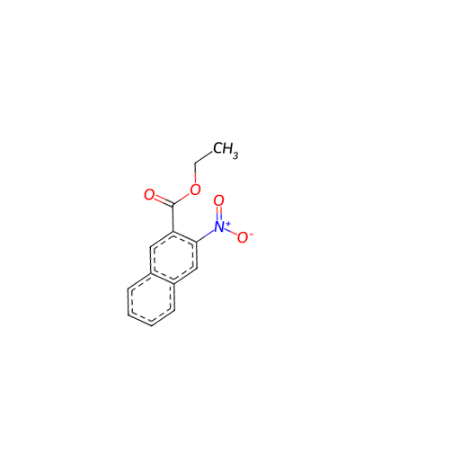 CCOC(=O)c1cc2ccccc2cc1[N+](=O)[O-]